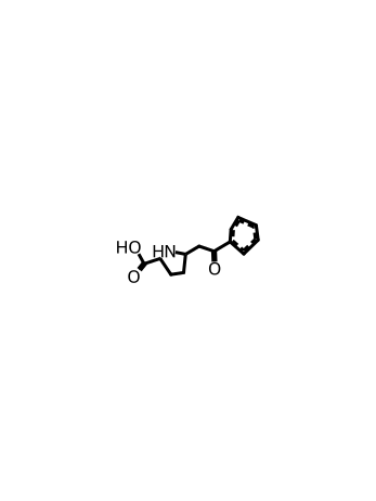 O=C(CC1CCC(C(=O)O)N1)c1ccccc1